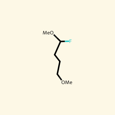 COCCCC(F)OC